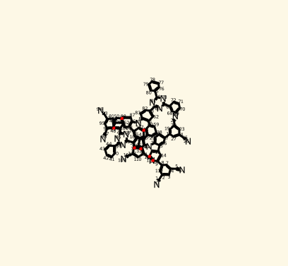 N#Cc1cc(C#N)cc(-c2ccc3c(c2)c2cc(-c4cc(C#N)cc(C#N)c4)ccc2n3-c2ccc(-c3nc(-c4ccccc4)nc(-c4ccccc4)n3)cc2-c2cccc(-c3cc(-c4nc(-c5ccccc5)nc(-c5ccccc5)n4)ccc3-n3c4ccc(-c5cc(C#N)cc(C#N)c5)cc4c4cc(-c5cc(C#N)cc(C#N)c5)ccc43)c2)c1